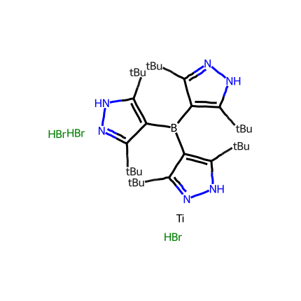 Br.Br.Br.CC(C)(C)c1n[nH]c(C(C)(C)C)c1B(c1c(C(C)(C)C)n[nH]c1C(C)(C)C)c1c(C(C)(C)C)n[nH]c1C(C)(C)C.[Ti]